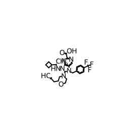 C#CCC1CN(C2N(Cc3ccc(C(F)(F)F)cc3)c3cnc(C(=O)O)nc3N2NC(C)C2CCC2)CCO1